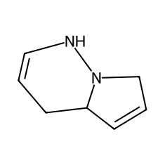 C1=CNN2CC=CC2C1